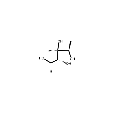 C[C@H](O)[C@@H](O)[C@@](C)(O)[C@@H](C)O